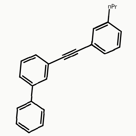 CCCc1cccc(C#Cc2cccc(-c3ccccc3)c2)c1